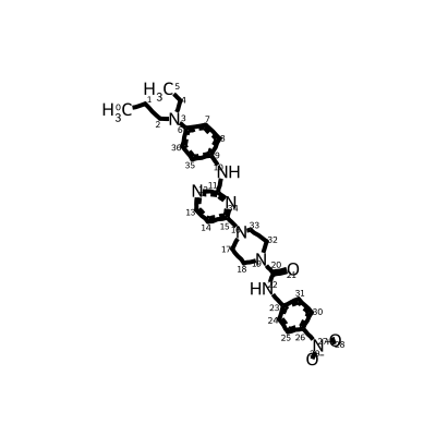 CCCN(CC)c1ccc(Nc2nccc(N3CCN(C(=O)Nc4ccc([N+](=O)[O-])cc4)CC3)n2)cc1